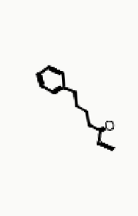 C=CC(=O)CCCCc1ccccc1